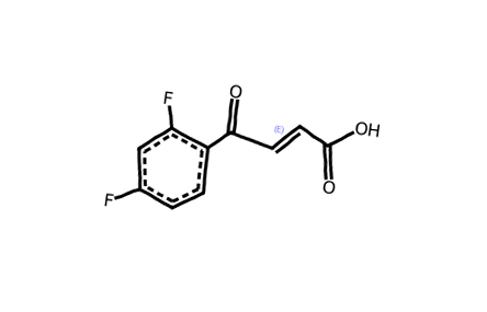 O=C(O)/C=C/C(=O)c1ccc(F)cc1F